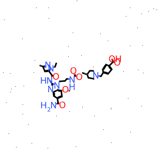 CCn1nc(C)cc1C(=O)Nc1nc2cc(C(N)=O)cc(OC)c2n1CCCNC(=O)OCC1CCN(Cc2ccc(C(=O)O)cc2)CC1